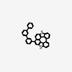 c1ccc(-c2cccc(-c3cccc(-c4cc5sc6cccc7c6c5c5c4ccc4sc6cccc-7c6c45)c3)c2)cc1